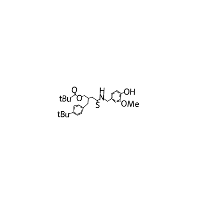 COc1cc(CNC(=S)CC(COC(=O)C(C)(C)C)Cc2ccc(C(C)(C)C)cc2)ccc1O